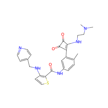 Cc1ccc(NC(=O)c2sccc2NCc2ccncc2)cc1-c1c(NCCN(C)C)c(=O)c1=O